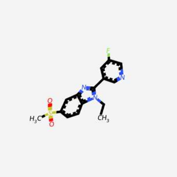 CCn1c(-c2cncc(F)c2)nc2cc(S(C)(=O)=O)ccc21